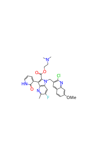 COc1ccc2cc(Cn3c(C(=O)OCCN(C)C)c(-c4ccc[nH]c4=O)c4nc(C)c(F)cc43)c(Cl)nc2c1